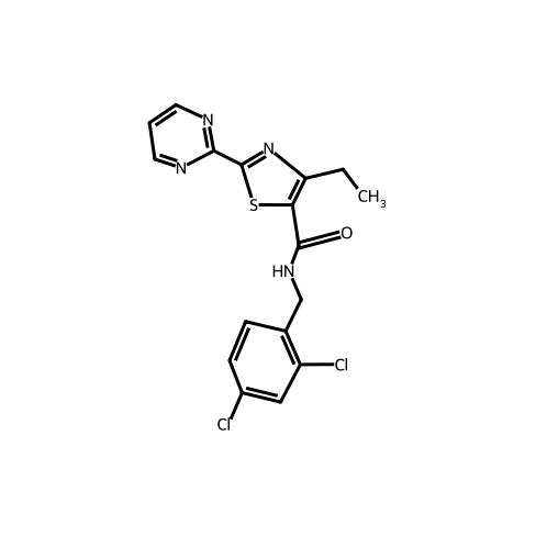 CCc1nc(-c2ncccn2)sc1C(=O)NCc1ccc(Cl)cc1Cl